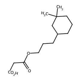 CC1(C)CCCC(CCCOC(=O)CC(=O)O)C1